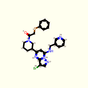 O=C(CSc1ccccc1)N1CCCC(c2cc(NCc3cccnc3)n3ncc(Br)c3n2)C1